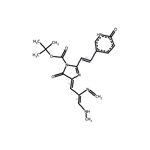 C=NC(=C\NC)/C=C1N=C(/C=C/c2ccc(=O)[nH]c2)N(C(=O)OC(C)(C)C)C\1=O